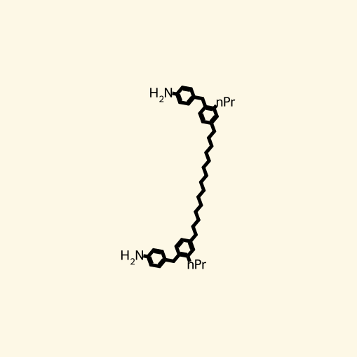 CCCc1cc(CCCCCCCCCCCCCCCc2ccc(Cc3ccc(N)cc3)c(CCC)c2)ccc1Cc1ccc(N)cc1